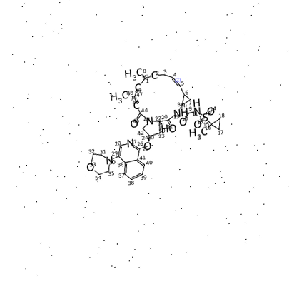 C[C@H]1CC/C=C\C2C[C@@]2(C(=O)NS(=O)(=O)C2(C)CC2)NC(=O)[C@@H]2C[C@@H](Oc3ncc(N4CCOCC4)c4ccccc34)CN2C(=O)C[C@H](C)C1